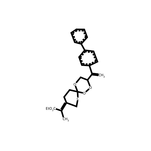 C=C(c1ccc(-c2ccccc2)cc1)C1COC2(CCC(=C(C)C(=O)OCC)CC2)OO1